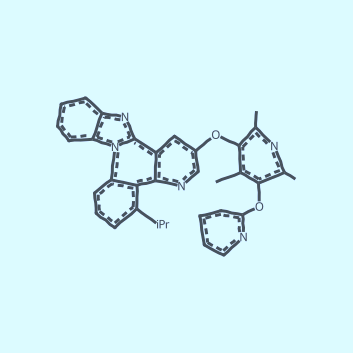 Cc1nc(C)c(Oc2ccccn2)c(C)c1Oc1cnc2c(c1)c1nc3ccccc3n1c1cccc(C(C)C)c21